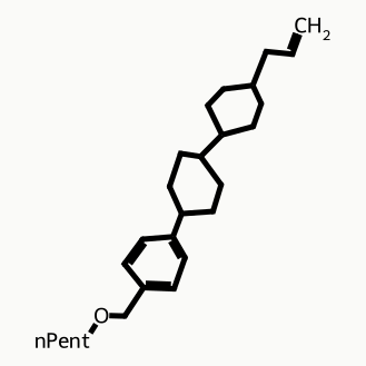 C=CCC1CCC(C2CCC(c3ccc(COCCCCC)cc3)CC2)CC1